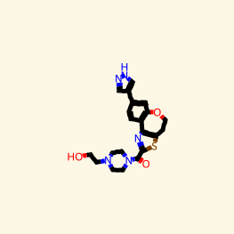 O=C(c1nc2c(s1)CCOc1cc(-c3cn[nH]c3)ccc1-2)N1CCN(CCO)CC1